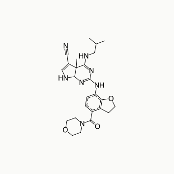 CC(C)CNC1=NC(Nc2ccc(C(=O)N3CCOCC3)c3c2OCC3)=NC2NC=C(C#N)C12C